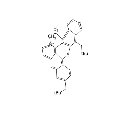 Cc1c2c(c(CC(C)(C)C)c3cnccc13)Sc1c3ccc(CC(C)(C)C)cc3cc3cc[n+](C)c-2c13